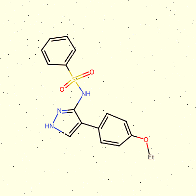 CCOc1ccc(-c2c[nH]nc2NS(=O)(=O)c2ccccc2)cc1